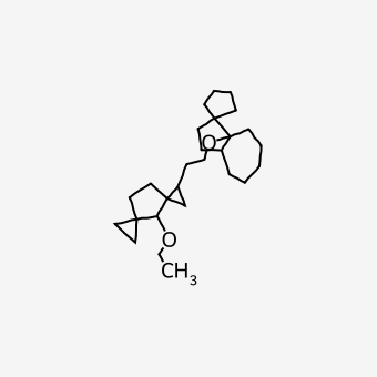 CCOC1C2(CC2)CCC12CC2CCOC12CCCCCC1CCC21CCCC1